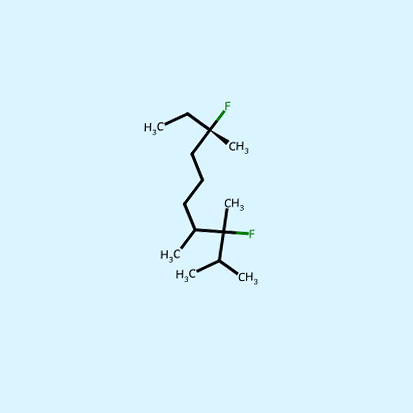 CC[C@](C)(F)CCCC(C)C(C)(F)C(C)C